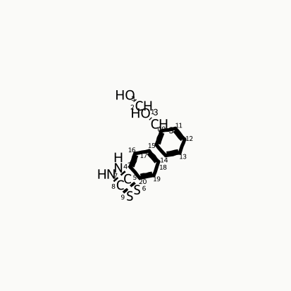 CO.CO.N=C=S.N=C=S.c1ccccc1.c1ccccc1